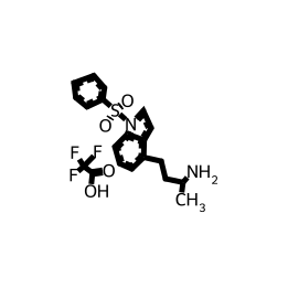 CC(N)CCc1cccc2c1ccn2S(=O)(=O)c1ccccc1.O=C(O)C(F)(F)F